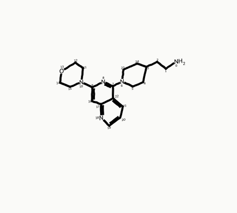 NCCC1CCN(c2nc(N3CCOCC3)cc3ncccc23)CC1